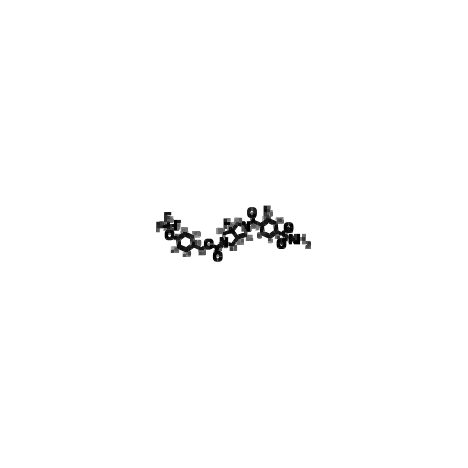 NS(=O)(=O)c1ccc(C(=O)N2C=C3CN(C(=O)OCc4ccc(OC(F)(F)F)cc4)CC3(F)C2)c(F)c1